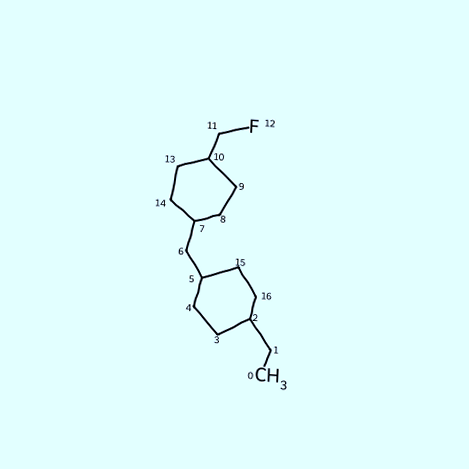 CCC1CCC(CC2CCC(CF)CC2)CC1